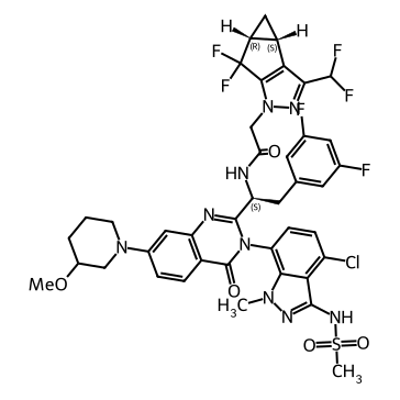 COC1CCCN(c2ccc3c(=O)n(-c4ccc(Cl)c5c(NS(C)(=O)=O)nn(C)c45)c([C@H](Cc4cc(F)cc(F)c4)NC(=O)Cn4nc(C(F)F)c5c4C(F)(F)[C@@H]4C[C@H]54)nc3c2)C1